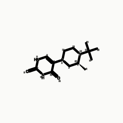 C[C@@H]1CN(c2c[nH]c(=O)[nH]c2=O)CCN1C(C)(C)C